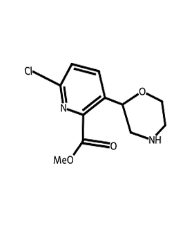 COC(=O)c1nc(Cl)ccc1C1CNCCO1